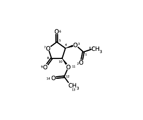 CC(=O)O[C@@H]1C(=O)OC(=O)[C@@H]1OC(C)=O